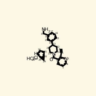 C#Cc1ncccc1C(=O)N1CCC(c2cccc(CN)c2)CC1.Cl.Cl.c1cc2cc-2c1